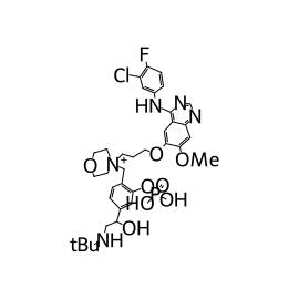 COc1cc2ncnc(Nc3ccc(F)c(Cl)c3)c2cc1OCCC[N+]1(Cc2ccc(C(O)CNC(C)(C)C)cc2OP(=O)(O)O)CCOCC1